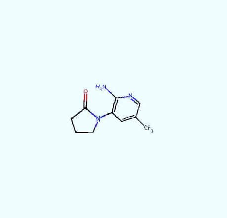 Nc1ncc(C(F)(F)F)cc1N1CCCC1=O